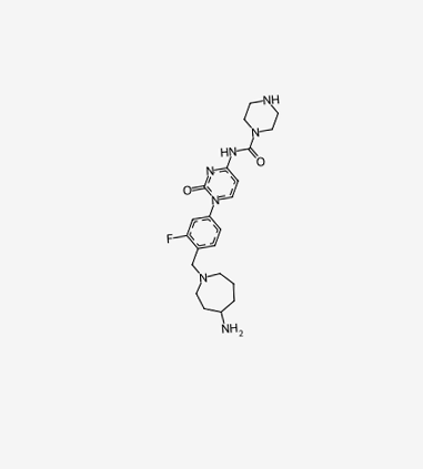 NC1CCCN(Cc2ccc(-n3ccc(NC(=O)N4CCNCC4)nc3=O)cc2F)CC1